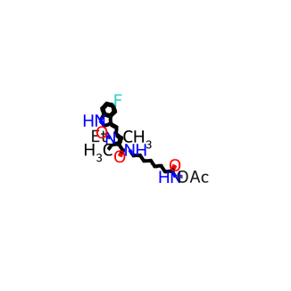 CCn1c(C)c(C(=O)NCCCCCCCC(=O)NOC(C)=O)c(C)c1/C=C1\C(=O)Nc2ccc(F)cc21